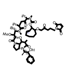 CC[C@H](C)C(C(CC(=O)N1CCCC1C(OC)C(C)C(=O)N[C@H](C)[C@@H](O)c1ccccc1)OC)N(C)C(=O)C(CC(=O)C(C(C)C)N(C)C(=O)OC1/C=C/CCCCC1OCC(=O)CCCN1C(=O)C=CC1=O)C(C)C